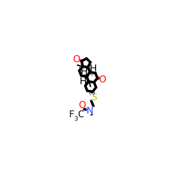 CN(CCS[C@@H]1CC[C@@]2(C)C(C1)C(=O)C[C@@H]1[C@@H]2CC[C@]2(C)C(=O)CC[C@@H]12)C(=O)C(F)(F)F